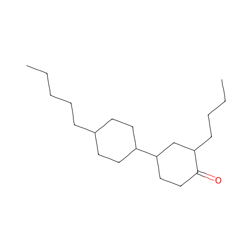 CCCCCC1CCC(C2CCC(=O)C(CCCC)C2)CC1